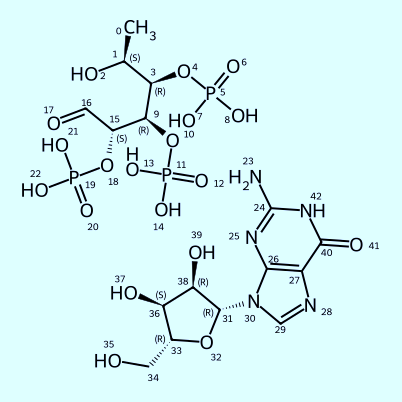 C[C@H](O)[C@@H](OP(=O)(O)O)[C@@H](OP(=O)(O)O)[C@@H](C=O)OP(=O)(O)O.Nc1nc2c(ncn2[C@@H]2O[C@H](CO)[C@@H](O)[C@H]2O)c(=O)[nH]1